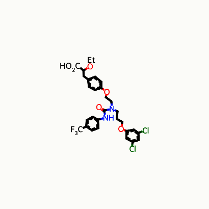 CCOC(Cc1ccc(OCCN(CCCOc2cc(Cl)cc(Cl)c2)C(=O)Nc2ccc(C(F)(F)F)cc2)cc1)C(=O)O